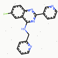 Fc1ccc2nc(-c3cccnc3)nc(NCc3ccccn3)c2c1